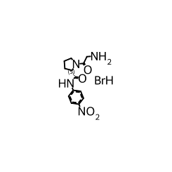 Br.NCC(=O)N1CCC[C@H]1C(=O)Nc1ccc([N+](=O)[O-])cc1